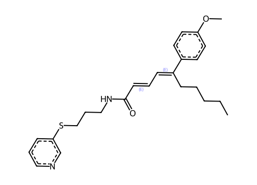 CCCCC/C(=C\C=C\C(=O)NCCCSc1cccnc1)c1ccc(OC)cc1